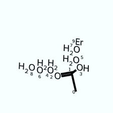 CC(=O)O.O.O.O.O.O.[Er]